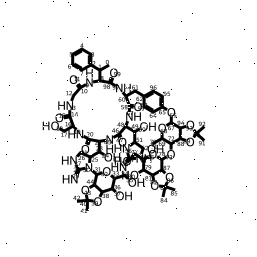 CC(c1ccccc1)C1NC(=O)CNC(=O)C(CO)NC(=O)C(C(O)C2CNC(=N)N2C2OC(CO)C(O)C3OC(C)(C)OC32)NC(=O)C(C(O)C2CNC(=N)N2)NC(=O)C(Cc2ccc(OC3OC(CO)C(OC4OC(CO)C(O)C5OC(C)(C)OC45)C4OC(C)(C)OC34)cc2)NC1=O